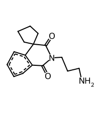 NCCCN1C(=O)c2ccccc2C2(CCCC2)C1=O